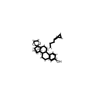 C[C@]12C[C@H](CCCC=C3CC3)C3c4ccc(O)cc4CCC3C1CCC21OCCO1